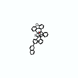 C1=CC2=C(C=CC(c3ccc(-c4nc(-c5ccccc5)nc(-c5cccc6oc7cccc(-c8ccc(-c9ccccc9)cc8)c7c56)n4)cc3)C2)CC1